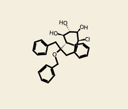 O[C@@H]1[C@@H](O)[C@@H](Cl)O[C@H](C(Cc2ccccc2)(Cc2ccccc2)OCc2ccccc2)[C@H]1O